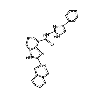 O=C(Nc1nc(-c2ccccc2)c[nH]1)c1cccc2[nH]c(-c3cc4ccccc4cn3)nc12